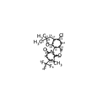 Cn1c(C(F)(F)F)cc(=O)n(-c2c(F)cc(Cl)c3c2OC(C)(C)C3)c1=O